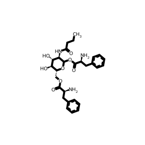 CCCC(=O)N[C@H]1C(OC(=O)[C@@H](N)Cc2ccccc2)O[C@H](COC(=O)[C@@H](N)Cc2ccccc2)[C@@H](O)[C@@H]1O